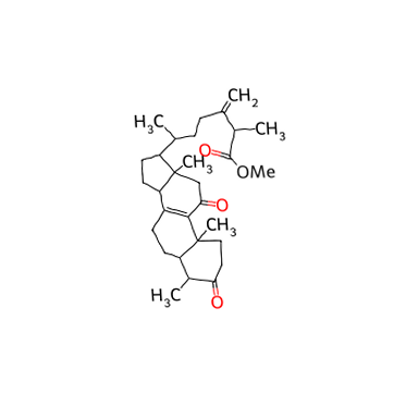 C=C(CCC(C)C1CCC2C3=C(C(=O)CC21C)C1(C)CCC(=O)C(C)C1CC3)C(C)C(=O)OC